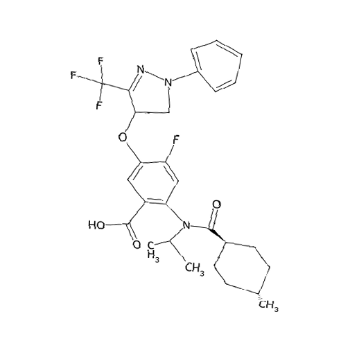 CC(C)N(c1cc(F)c(OC2CN(c3ccccc3)N=C2C(F)(F)F)cc1C(=O)O)C(=O)[C@H]1CC[C@H](C)CC1